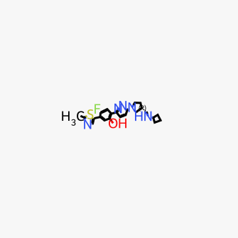 Cc1ncc(-c2cc(O)c(-c3ccc(N4CC[C@H](CNC5CCC5)C4)nn3)cc2F)s1